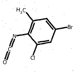 Cc1cc(Br)cc(Cl)c1N=C=O